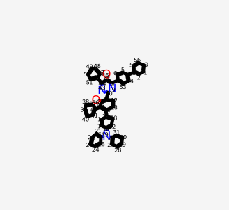 c1ccc(-c2ccc(-c3nc(-c4ccc(-c5ccc(N(c6ccccc6)c6ccccc6)cc5)c5c4oc4ccccc45)nc4c3oc3ccccc34)cc2)cc1